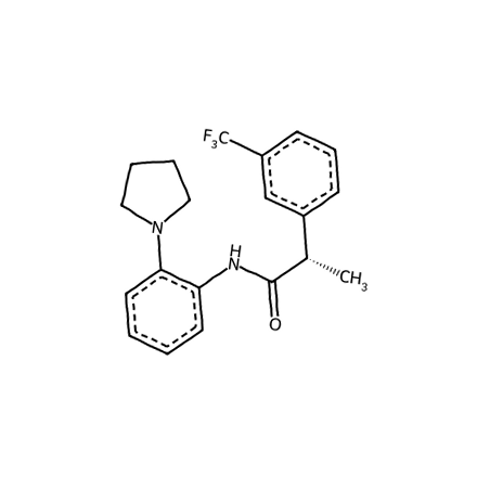 C[C@H](C(=O)Nc1ccccc1N1CCCC1)c1cccc(C(F)(F)F)c1